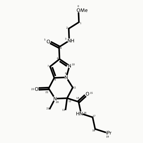 COCCNC(=O)c1cc2n(n1)CC(C)(C(=O)NCCC(C)C)N(C)C2=O